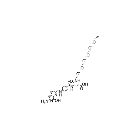 C#CCOCCOCCOCCOCCOCCOCCNC(=O)[C@H](CCC(=O)O)NC(=O)c1ccc(NCc2cnc3nc(N)nc(O)c3n2)cc1